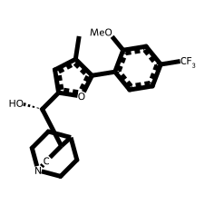 COc1cc(C(F)(F)F)ccc1-c1oc([C@@H](O)C2CN3CCC2CC3)cc1C